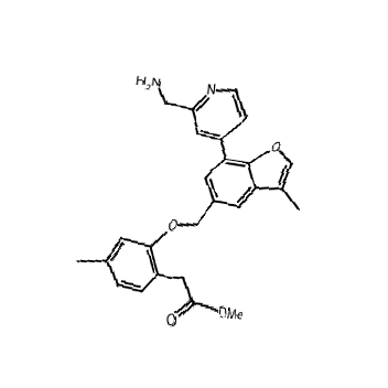 COC(=O)Cc1ccc(C)cc1OCc1cc(-c2ccnc(CN)c2)c2occ(C)c2c1